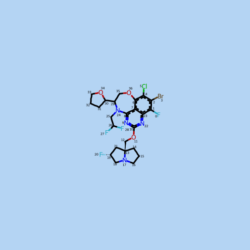 Fc1c(Br)c(Cl)c2c3c(nc(OC[C@@]45CCCN4C[C@H](F)C5)nc13)N(CC(F)F)C(C1CCCO1)CO2